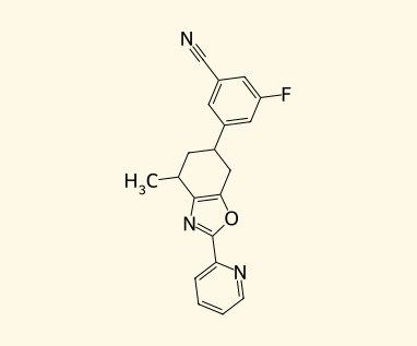 CC1CC(c2cc(F)cc(C#N)c2)Cc2oc(-c3ccccn3)nc21